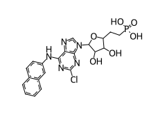 O=P(O)(O)CCC1OC(n2cnc3c(Nc4ccc5ccccc5c4)nc(Cl)nc32)C(O)C1O